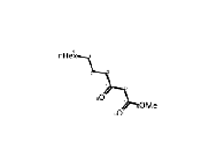 CCCCCCCCCC(=O)CC(=O)OC